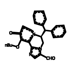 CCCCOc1c2n(ccc1=O)[C@@H](C(c1ccccc1)c1ccccc1)Cn1c(C=O)cnc1-2